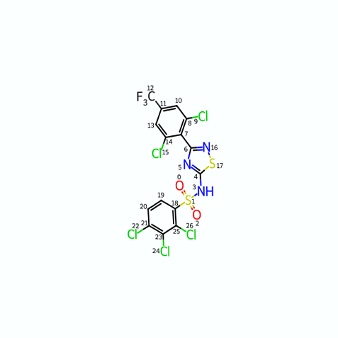 O=S(=O)(Nc1nc(-c2c(Cl)cc(C(F)(F)F)cc2Cl)ns1)c1ccc(Cl)c(Cl)c1Cl